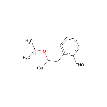 C[SiH](C)OC(Cc1ccccc1C=O)C(C)(C)C